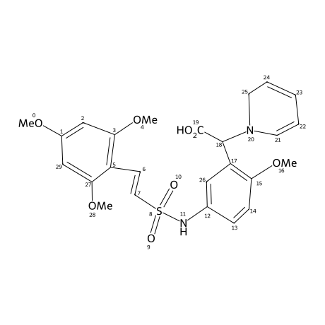 COc1cc(OC)c(C=CS(=O)(=O)Nc2ccc(OC)c(C(C(=O)O)N3C=CC=CC3)c2)c(OC)c1